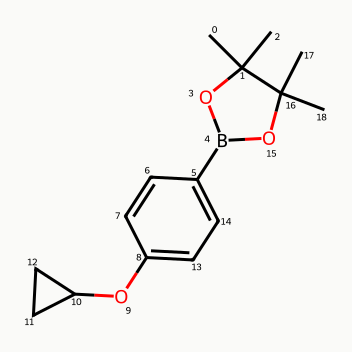 CC1(C)OB(c2ccc(OC3CC3)cc2)OC1(C)C